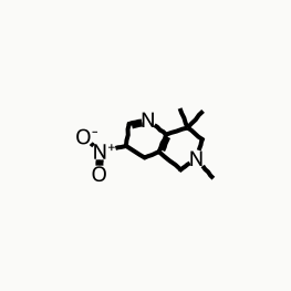 CN1CC2=C(N=CC([N+](=O)[O-])C2)C(C)(C)C1